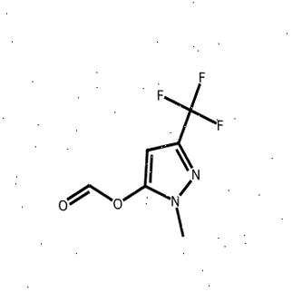 Cn1nc(C(F)(F)F)cc1OC=O